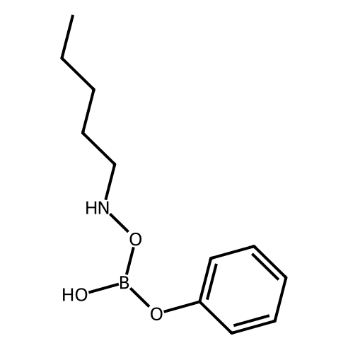 CCCCCNOB(O)Oc1ccccc1